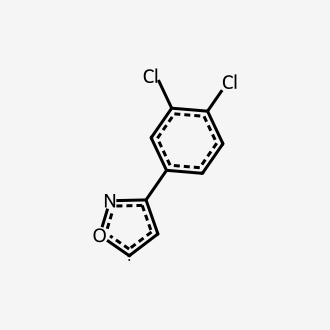 Clc1ccc(-c2c[c]on2)cc1Cl